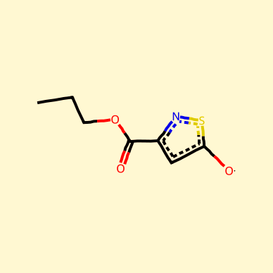 CCCOC(=O)c1cc([O])sn1